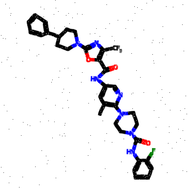 Cc1cc(NC(=O)c2oc(N3CCC(c4ccccc4)CC3)nc2C(F)(F)F)cnc1N1CCN(C(=O)Nc2ccccc2F)CC1